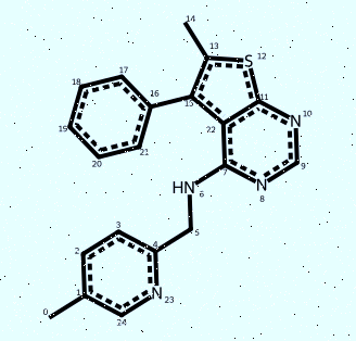 Cc1ccc(CNc2ncnc3sc(C)c(-c4ccccc4)c23)nc1